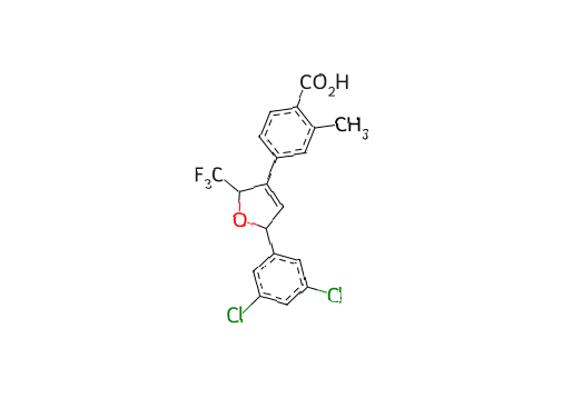 Cc1cc(C2=CC(c3cc(Cl)cc(Cl)c3)OC2C(F)(F)F)ccc1C(=O)O